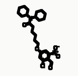 O=Cc1c(Cl)cc(OCCCCCC(=O)N(C2CCCCC2)C2CCCCC2)cc1[N+](=O)[O-]